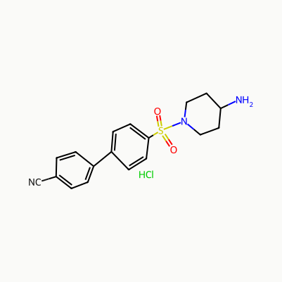 Cl.N#Cc1ccc(-c2ccc(S(=O)(=O)N3CCC(N)CC3)cc2)cc1